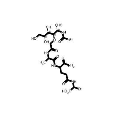 CCCC(=O)N[C@@H](C=O)[C@@H](OCC(=O)NC(C)C(=O)NC(CCC(=O)NC(CC)C(=O)O)C(N)=O)[C@H](O)[C@H](O)CO